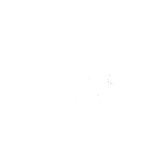 C=COC(=O)c1cccc(C)c1.CC(=O)O